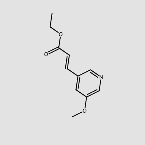 CCOC(=O)/C=C/c1cncc(OC)c1